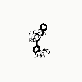 CC(C)(C)N(Cc1ccccc1)CC(O)c1ccc(O)c(NC=O)c1